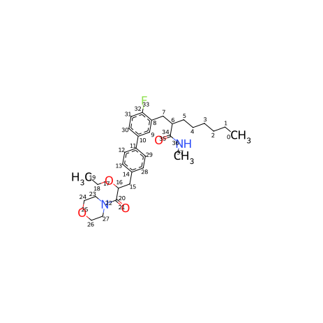 CCCCCCC(Cc1cc(-c2ccc(CC(OCC)C(=O)N3CCOCC3)cc2)ccc1F)C(=O)NC